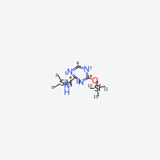 C[SiH](C)Nc1ncnc(O[Si](C)(C)C)n1